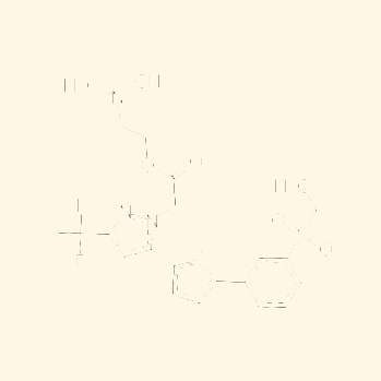 CCS(=O)(=O)c1cccc(-c2ccc(-c3cc(C(F)(F)F)nn3CC(=O)OCSN(C)C)s2)c1